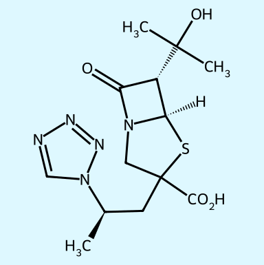 C[C@H](CC1(C(=O)O)CN2C(=O)[C@H](C(C)(C)O)[C@H]2S1)n1cnnn1